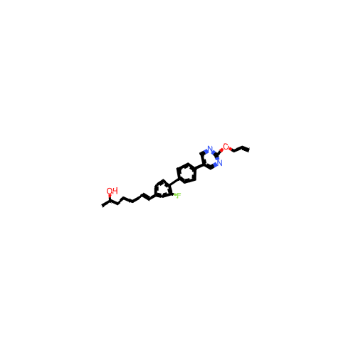 C=CCOc1ncc(-c2ccc(-c3ccc(C=CCCCC(C)O)cc3F)cc2)cn1